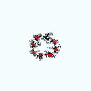 CN(C)C.O=P(O)(O)OC[C@H]1O[C@@H]2O[C@H]3[C@H](O)[C@@H](O)[C@@H](O[C@H]4[C@H](O)[C@@H](O)[C@@H](O[C@H]5[C@H](O)[C@@H](O)[C@@H](O[C@H]6[C@H](O)[C@@H](O)[C@@H](O[C@H]7[C@H](O)[C@@H](O)[C@@H](O[C@H]8[C@H](O)[C@@H](O)[C@@H](O[C@H]9[C@H](O)[C@@H](O)[C@@H](O[C@H]1[C@H](O)[C@H]2O)O[C@@H]9CO)O[C@@H]8CO)O[C@@H]7CO)O[C@@H]6CO)O[C@@H]5CO)O[C@@H]4CO)O[C@@H]3CO